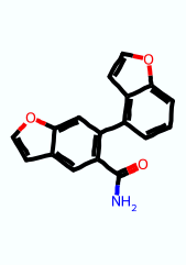 NC(=O)c1cc2ccoc2cc1-c1cccc2occc12